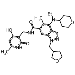 CCN(c1c(C)c(C(=O)NCc2c(O)cc(C)[nH]c2=O)cc2c1cnn2CC1CCOC1)C1CCOCC1